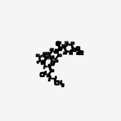 C=C/C=C(Cl)\C=C1/Cn2cccc2C2(CCN(C(=O)c3ccc(OCC)cc3)CC2)O1